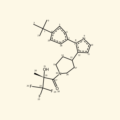 CC(C)(C)c1ccc(-n2nccc2C2CCN(C(=O)[C@@](C)(O)C(F)(F)F)CC2)cc1